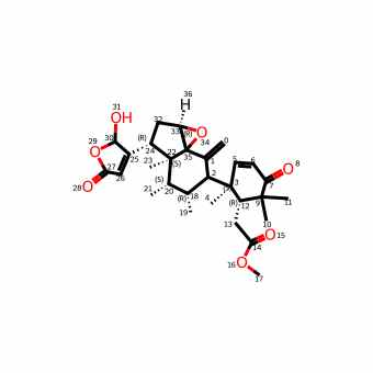 C=C1C([C@@]2(C)C=CC(=O)C(C)(C)[C@@H]2CC(=O)OC)[C@H](C)[C@H](C)[C@@]2(C)[C@H](C3=CC(=O)OC3O)C[C@H]3OC132